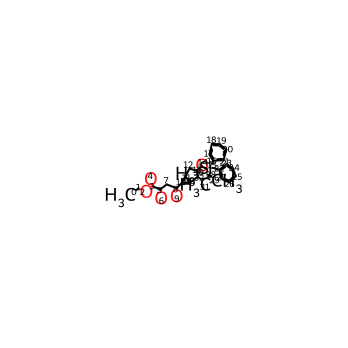 CCOC(=O)C(=O)CC(=O)C1C2CC(O[Si](c3ccccc3)(c3ccccc3)C(C)(C)C)CC21